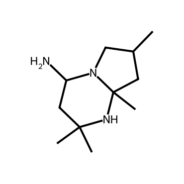 CC1CN2C(N)CC(C)(C)NC2(C)C1